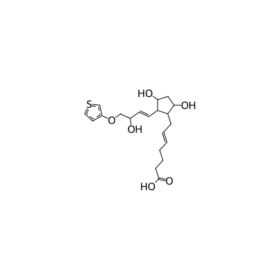 O=C(O)CCC/C=C/CC1C(O)CC(O)C1/C=C/C(O)COc1ccsc1